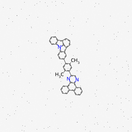 Cc1cc(-c2cnc3c4ccccc4c4ccccc4c3n2)c(C)cc1-c1ccc2c(c1)c1cccc3c4ccccc4n2c31